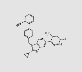 CC1CC(=O)NN=C1c1ccc2c(c1)nc(C1CC1)n2Cc1ccc(-c2ccccc2C#N)cc1